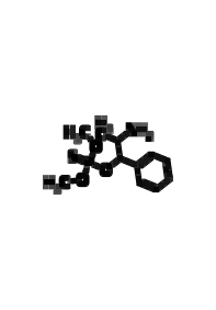 COP(=S)(OC)OC(c1ccccc1)C(C)N